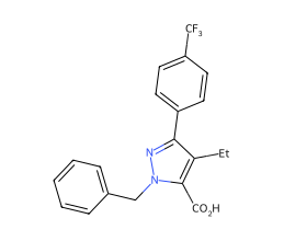 CCc1c(-c2ccc(C(F)(F)F)cc2)nn(Cc2ccccc2)c1C(=O)O